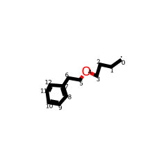 [CH2]CCCOCCc1ccccc1